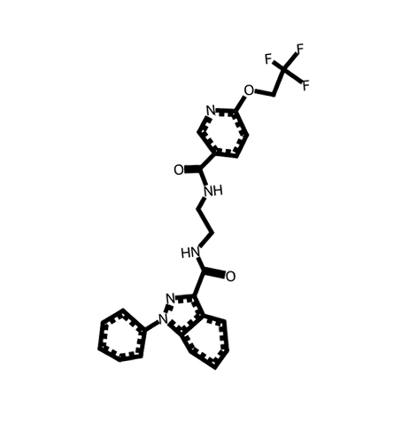 O=C(NCCNC(=O)c1nn(-c2ccccc2)c2ccccc12)c1ccc(OCC(F)(F)F)nc1